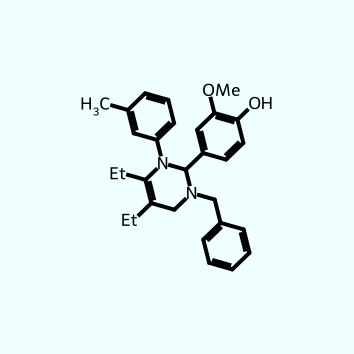 CCC1=C(CC)N(c2cccc(C)c2)C(c2ccc(O)c(OC)c2)N(Cc2ccccc2)C1